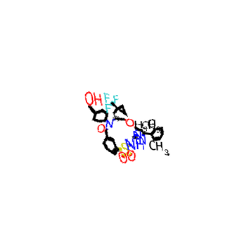 Cc1cccc(C)c1-c1nc2nc(c1C)OC[C@@H](CC1(C(F)(F)F)CC1)N(C1CCC(CO)CC1)C(=O)c1cccc(c1)S(=O)(=O)N2